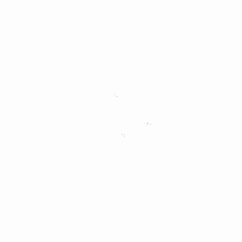 COc1nc(Cl)c(F)cc1CC#N